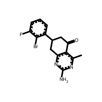 Cc1nc(N)nc2c1C(=O)CC(c1cccc(F)c1Br)C2